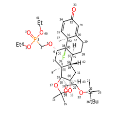 CCOP(=O)(CO[C@H]1C[C@@]2(C)[C@@H](C[C@H]3OC(C)(C)O[C@]32C(=O)CO[Si](C)(C)C(C)(C)C)[C@@H]2CCC3=CC(=O)C=C[C@]3(C)[C@@]12F)OCC